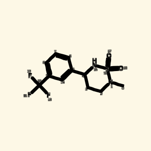 CN1CCC(c2cccc(C(F)(F)F)c2)NS1(=O)=O